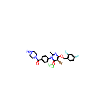 Cc1nc(OCc2ccc(F)cc2F)c(Br)c(=O)n1-c1ccc(C(=O)N2CCNCC2)cc1.Cl